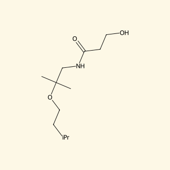 CC(C)CCOC(C)(C)CNC(=O)CCO